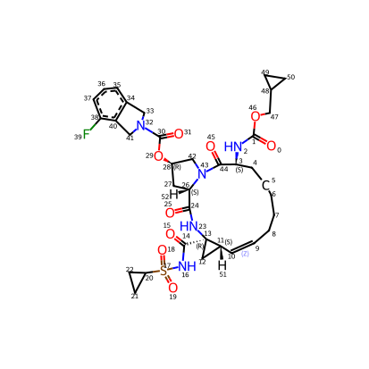 O=C(N[C@H]1CCCCC/C=C\[C@@H]2C[C@@]2(C(=O)NS(=O)(=O)C2CC2)NC(=O)[C@@H]2C[C@@H](OC(=O)N3Cc4cccc(F)c4C3)CN2C1=O)OCC1CC1